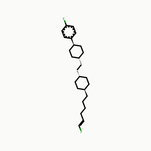 FC=CCCCC[C@H]1CC[C@H](CC[C@H]2CC[C@H](c3ccc(F)cc3)CC2)CC1